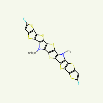 CCCCCCCn1c2c3sc4cc(F)sc4c3sc2c2sc3c(sc4c5sc6c7sc(F)cc7sc6c5n(C)c43)c21